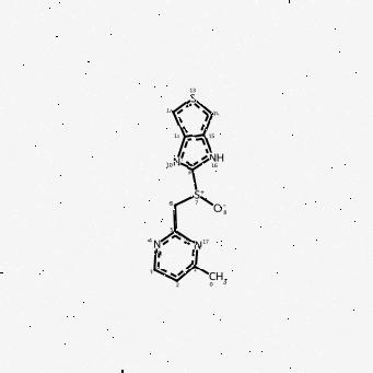 Cc1ccnc(C[S+]([O-])c2nc3cscc3[nH]2)n1